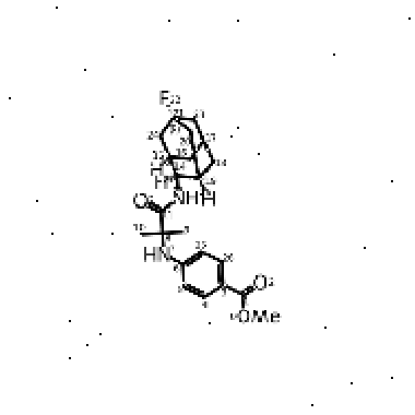 COC(=O)c1ccc(NC(C)(C)C(=O)N[C@H]2[C@@H]3CC4C[C@H]2C[C@](F)(C4)C3)cc1